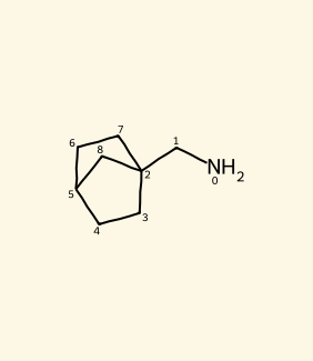 NCC12CCC(CC1)C2